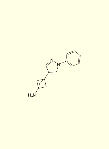 NC12CC(c3cnn(-c4ccccc4)c3)(C1)C2